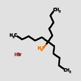 Br.CCCCCC(P)(CCCCC)CCCCC